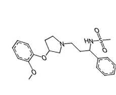 COc1ccccc1OC1CCN(CCC(NS(C)(=O)=O)c2ccccc2)C1